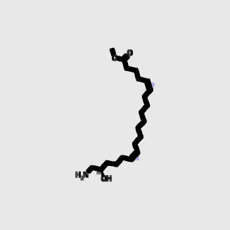 COC(=O)CCC/C=C\CCCCCCC/C=C\CCC[C@H](O)CN